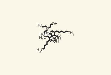 CCCCCCC(CC)C(C(=O)O)C(C(=O)O)(C(CC)CCCCCC)S(=O)(=O)O.OCCN(CCO)CCO